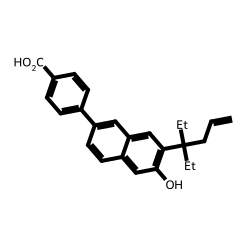 C=CCC(CC)(CC)c1cc2cc(-c3ccc(C(=O)O)cc3)ccc2cc1O